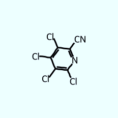 N#Cc1nc(Cl)c(Cl)c(Cl)c1Cl